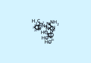 CC(CNc1nc(N)c2ncn([C@@H]3O[C@H](CO)[C@@H](O)[C@H]3O)c2n1)c1ccccn1